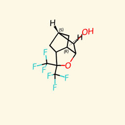 OC1C2OC(C(F)(F)F)(C(F)(F)F)C3C[C@@H]1C[C@@H]23